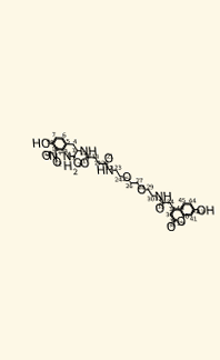 NC(=O)C(Cc1ccc(O)c([N+](=O)[O-])c1)NC(=O)CCC(=O)NCCOCCOCCNC(=O)Cc1cc(=O)oc2cc(O)ccc12